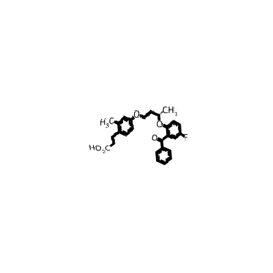 Cc1cc(OCC[C@H](C)Oc2ccc(F)cc2C(=O)c2ccccc2)ccc1CCC(=O)O